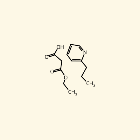 CCCc1ccccn1.CCOC(=O)CC(=O)O